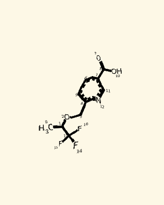 CC(OCc1ccc(C(=O)O)cn1)C(F)(F)F